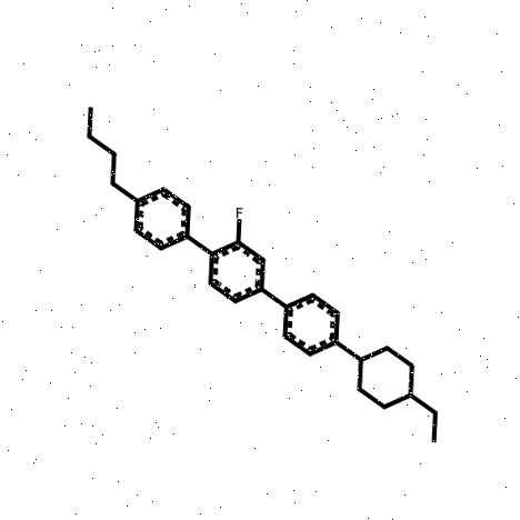 CCCCc1ccc(-c2ccc(-c3ccc(C4CCC(CC)CC4)cc3)cc2F)cc1